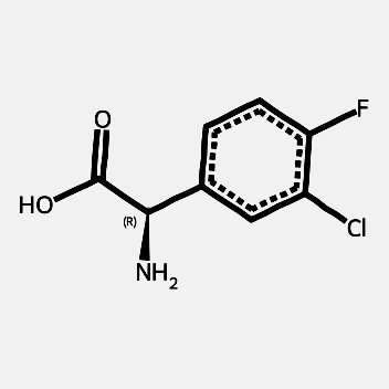 N[C@@H](C(=O)O)c1ccc(F)c(Cl)c1